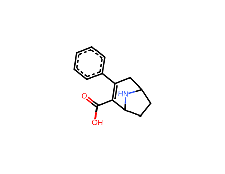 O=C(O)C1=C(c2ccccc2)CC2CCC1N2